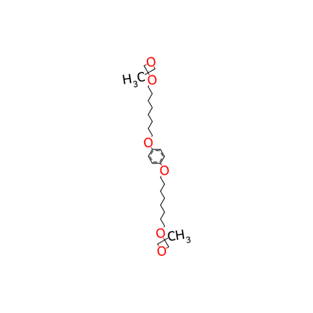 CC1(OCCCCCCCCOc2ccc(OCCCCCCCCOC3(C)COC3)cc2)COC1